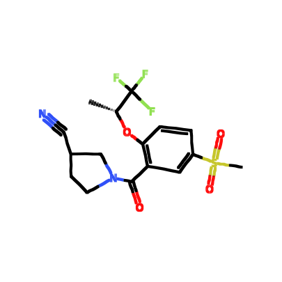 C[C@@H](Oc1ccc(S(C)(=O)=O)cc1C(=O)N1CCC(C#N)C1)C(F)(F)F